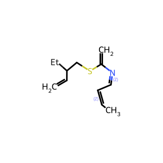 C=CC(CC)CSC(=C)/N=C\C=C/C